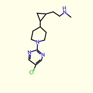 CNCCC1CC1C1CCN(c2ncc(Cl)cn2)CC1